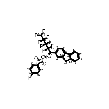 O=S(=O)(ON=C(c1ccc2c(c1)Cc1ccccc1-2)C(F)(F)C(F)(F)C(F)(F)C(F)F)c1ccc(F)cc1